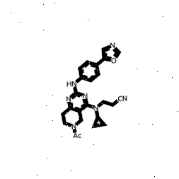 CC(=O)N1CCc2nc(Nc3ccc(-c4cnco4)cc3)nc(N(CCC#N)C3CC3)c2C1